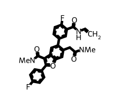 C=CNC(=O)c1cc(-c2cc3c(C(=O)NC)c(-c4ccc(F)cc4)oc3cc2CC(=O)NC)ccc1F